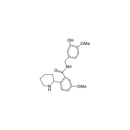 COc1ccc(C2CCCCN2)c(C(=O)NCc2ccc(OC)c(O)c2)c1